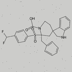 O=C(O)N1CCC2(CNc3ccccc32)CC1(Cc1ccccc1)S(=O)(=O)c1ccc(C(F)F)cc1